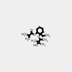 C=C(C)C(=O)OC1CCCCC1(CC)OC(C)C(C)(C)O